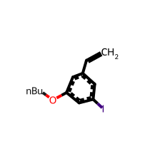 C=Cc1cc(I)cc(OCCCC)c1